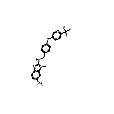 Cn1c(NCc2ccc(Oc3ccc(C(F)(F)F)nc3)cc2)nc2ccc(N)cc21